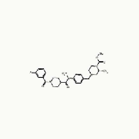 C[C@H]1CN(Cc2ccc(N(C)C(=O)C3CCN(C(=O)c4cccc(F)c4)CC3)cc2)CCN1C(=O)OC(C)(C)C